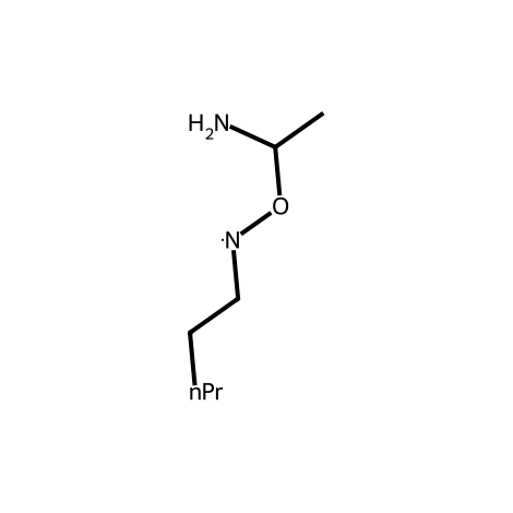 CCCCC[N]OC(C)N